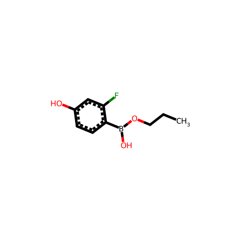 CCCOB(O)c1ccc(O)cc1F